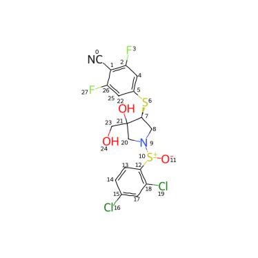 N#Cc1c(F)cc(S[C@H]2CN([S+]([O-])c3ccc(Cl)cc3Cl)CC2(O)CO)cc1F